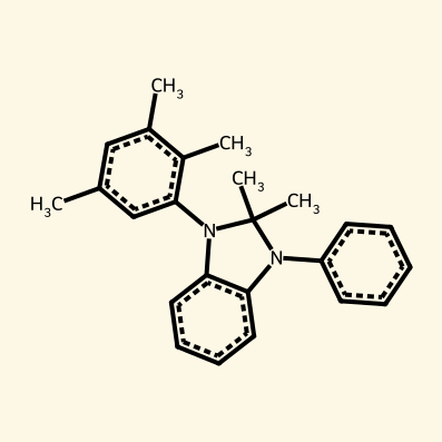 Cc1cc(C)c(C)c(N2c3ccccc3N(c3ccccc3)C2(C)C)c1